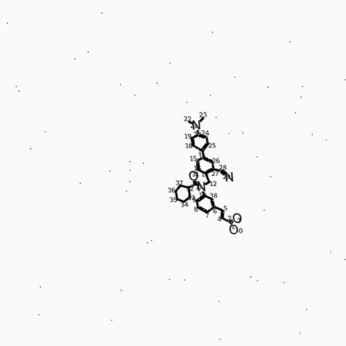 COC(=O)/C=C/c1cccc(N(Cc2ccc(-c3ccc(N(C)C)cc3)cc2C#N)C(=O)C2CCCCC2)c1